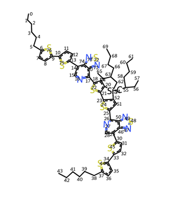 CCCCCCc1ccc(-c2ccc(-c3cnc(-c4cc5c(s4)-c4sc(-c6ncc(-c7ccc(-c8ccc(CCCCCC)s8)s7)c7nsnc67)cc4[Si]5(CC(CC)CCCC)CC(CC)CCCC)c4nsnc34)s2)s1